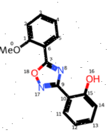 COc1ccccc1-c1nc(-c2ccccc2O)no1